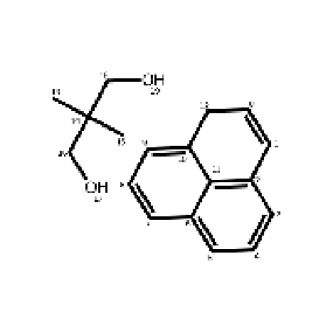 C1=Cc2cccc3cccc(c23)C1.CC(C)(CO)CO